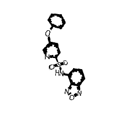 O=S(=O)(Nc1cccc2nonc12)c1ccc(Oc2ccccc2)cn1